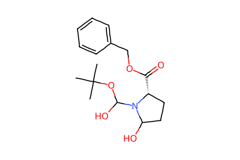 CC(C)(C)OC(O)N1C(O)CC[C@H]1C(=O)OCc1ccccc1